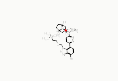 CN(c1ccc(-c2ccc(Br)c3nnn(COCC[Si](C)(C)C)c23)nn1)C1C[C@H]2CC[C@@H](C1)N2C(=O)OC(C)(C)C